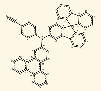 N#Cc1ccc(N(c2ccc3c(c2)-c2ccccc2C32c3ccccc3-c3ccccc32)c2ccc3c4ccccc4c4ccccc4c3c2)cc1